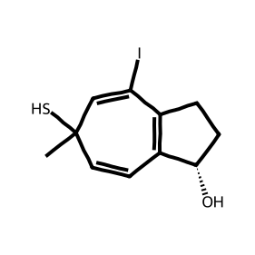 CC1(S)C=CC2=C(CC[C@@H]2O)C(I)=C1